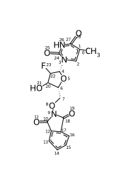 Cc1cn([C@@H]2O[C@H](CON3C(=O)c4ccccc4C3=O)C(O)C2F)c(=O)[nH]c1=O